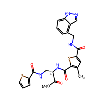 COC(=O)[C@H](CNC(=O)c1cccs1)NC(=O)c1sc(C(=O)NCc2cccc3[nH]ncc23)cc1C